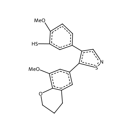 COc1ccc(-c2cnsc2-c2cc3c(c(OC)c2)OCCC3)cc1S